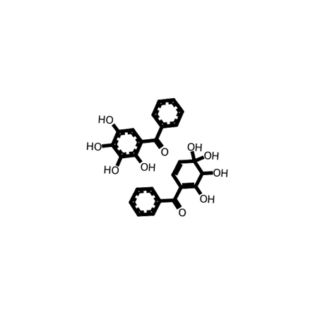 O=C(C1=C(O)C(O)C(O)(O)C=C1)c1ccccc1.O=C(c1ccccc1)c1cc(O)c(O)c(O)c1O